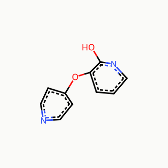 Oc1ncccc1Oc1ccncc1